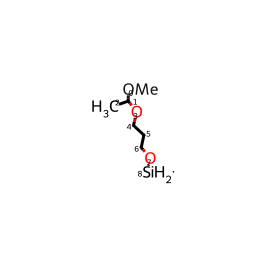 COC(C)OCCCO[SiH2]